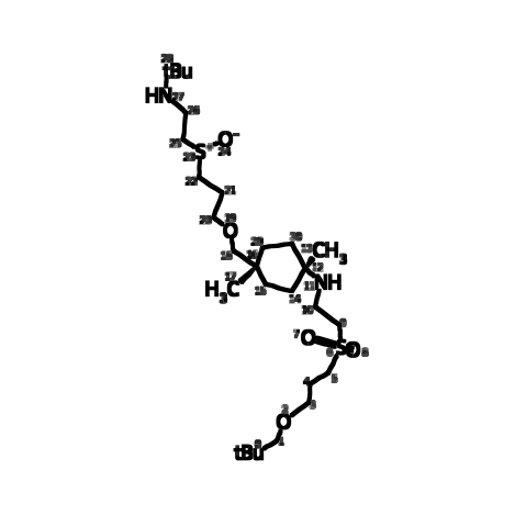 CC(C)(C)COCCCS(=O)(=O)CCN[C@]1(C)CC[C@](C)(COCCC[S+]([O-])CCNC(C)(C)C)CC1